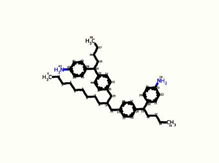 CCCCCCCCCC(Cc1ccc(C(CCCC)c2ccc(N)cc2)cc1)Cc1ccc(C(CCCC)c2ccc(N)cc2)cc1